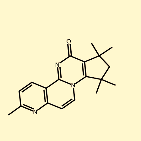 Cc1ccc2c(ccn3c4c(c(=O)nc23)C(C)(C)CC4(C)C)n1